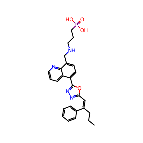 CCCC(=Cc1nnc(-c2ccc(CNCCCP(=O)(O)O)c3ncccc23)o1)c1ccccc1